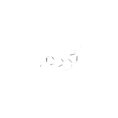 COc1ccc2c(c1)C(=O)/C(=C\c1cccc([N+](=O)[O-])c1)CO2